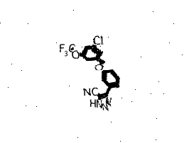 N#Cc1[nH]nnc1-c1cccc(OCc2cc(Cl)cc(OC(F)(F)F)c2)c1